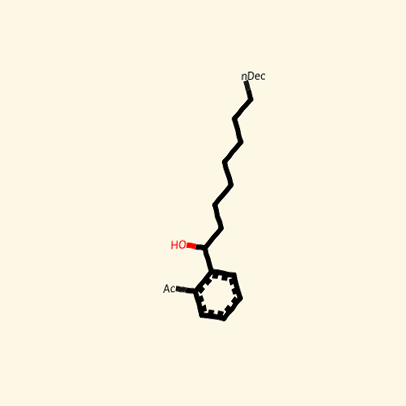 CCCCCCCCCCCCCCCCCC(O)c1ccccc1C(C)=O